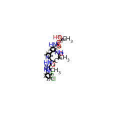 Cc1c(C(=O)N[C@H]2CCC[C@@H](C)C(=O)Nc3cc(NC(=O)OCC(C)O)ccc3-c3ccnc2c3)nnn1-c1cccc(Cl)c1F